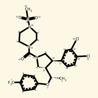 C[C@H](Oc1ccc(C(F)(F)F)cc1)[C@@H]1CN(C(=O)N2CCN(S(C)(=O)=O)CC2)C[C@H]1c1ccc(Cl)c(Cl)c1